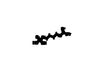 CC(C)C(=O)OCCCCOP(=O)(O)O